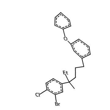 CCC(C)(CCCc1cccc(Oc2ccccc2)c1)c1ccc(Cl)c(Br)c1